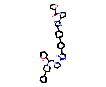 O=C([C@H]1CCCO1)N1CCC[C@H]1c1nc(-c2ccc(-c3ccc(-c4cnc([C@@H]5CCCN5CC(C5C=CC=CO5)N5CCC(c6ccccc6)CC5)[nH]4)cc3)cc2)c[nH]1